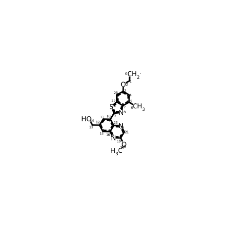 [CH2]COc1cc(C)c2nc(-c3cc(CO)cc4nc(OC)cnc34)sc2c1